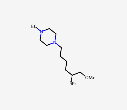 CCC[C@@H](CCCCN1CCN(CC)CC1)COC